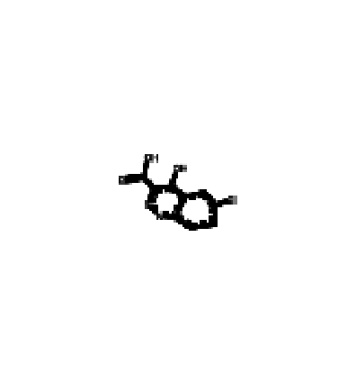 O=C(O)c1nnc2ccc(Cl)cc2c1O